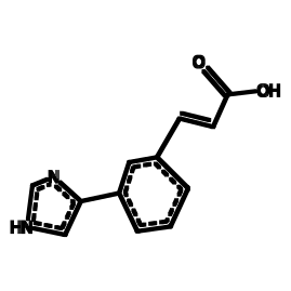 O=C(O)C=Cc1cccc(-c2c[nH]cn2)c1